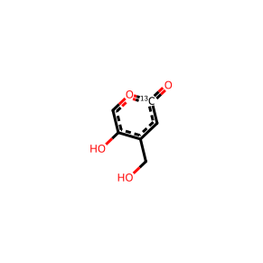 O=[13c]1cc(CO)c(O)co1